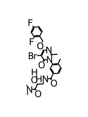 Cc1ccc(C(=O)NC[C@@H](O)C(=O)N(C)C)cc1-n1c(C)nc(OCc2ccc(F)cc2F)c(Br)c1=O